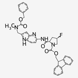 CN(Cc1cc2nc(NC(=O)[C@H]3C[C@@H](F)CN3C(=O)OCC3c4ccccc4-c4ccccc43)ccc2[nH]1)C(=O)OCc1ccccc1